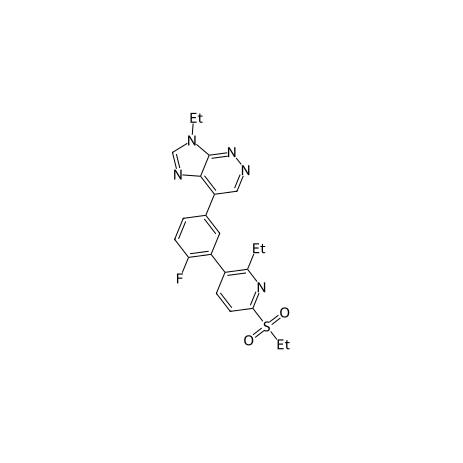 CCc1nc(S(=O)(=O)CC)ccc1-c1cc(-c2cnnc3c2ncn3CC)ccc1F